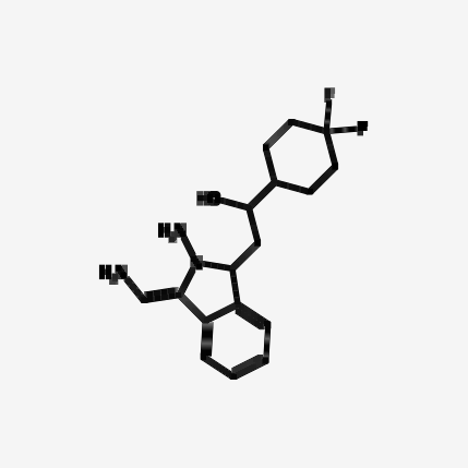 N/C=C1/c2ccccc2C(CC(O)C2CCC(F)(F)CC2)N1N